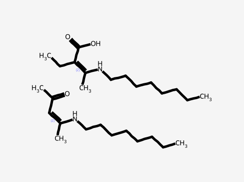 CCCCCCCCN/C(C)=C(/CC)C(=O)O.CCCCCCCCN/C(C)=C\C(C)=O